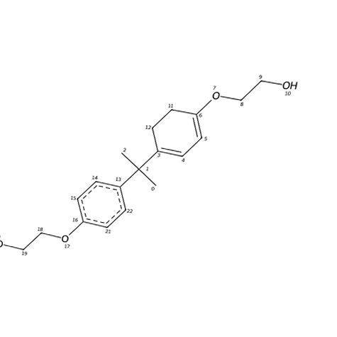 CC(C)(C1=CC=C(OCCO)CC1)c1ccc(OCCO)cc1